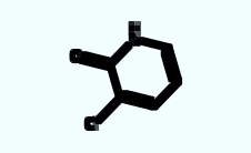 O=c1[nH]cccc1Cl